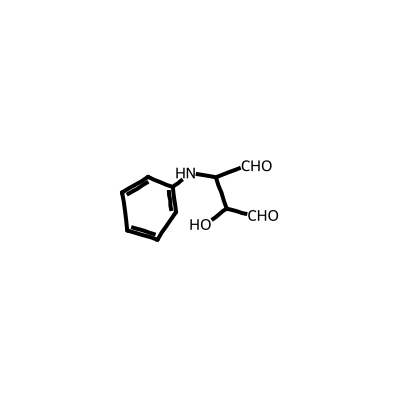 O=CC(O)C(C=O)Nc1ccccc1